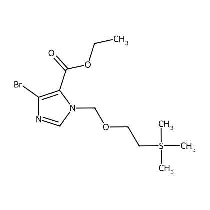 CCOC(=O)c1c(Br)ncn1COCCS(C)(C)C